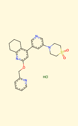 Cl.O=S1(=O)CCN(c2cncc(-c3cc(OCc4ccccn4)nc4c3CCCC4)c2)CC1